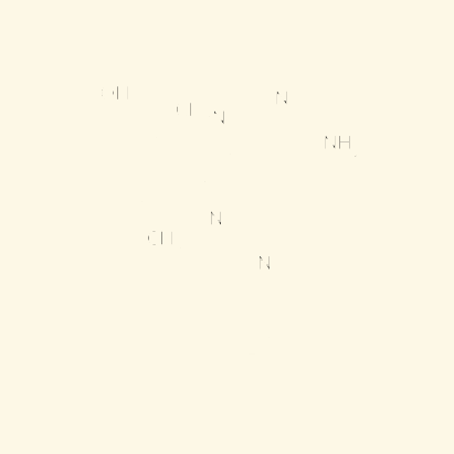 Cc1ccc(O)c(C)c1-c1nc(N2CC[C@H](F)C2)cc2c(N)ncnc12